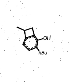 CCCCc1ccc2c(c1O)CC2C